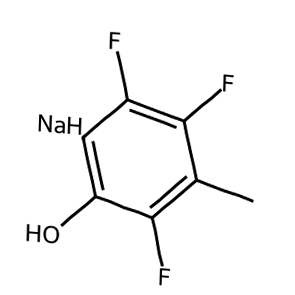 Cc1c(F)c(O)cc(F)c1F.[NaH]